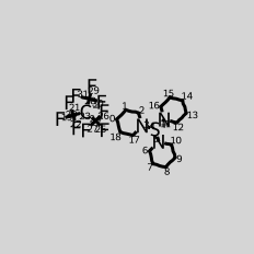 C1CCN([S+](N2CCCCC2)N2CCCCC2)CC1.FC(F)(F)[C-](C(F)(F)F)C(F)(F)F